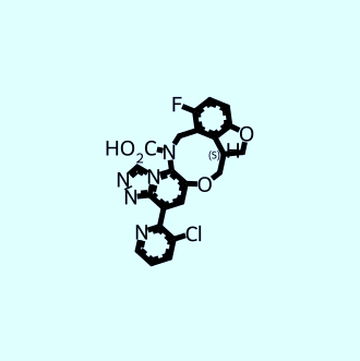 O=C(O)N1Cc2c(F)ccc3c2[C@@H](CO3)COc2cc(-c3ncccc3Cl)c3nncn3c21